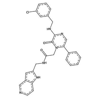 O=C(Cn1c(-c2ccccc2)cnc(NCc2cccc(Cl)c2)c1=O)NCc1cc2cnccc2[nH]1